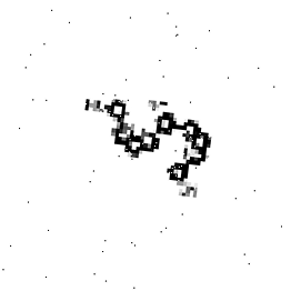 N#Cc1cccc(-c2ccc3ccc4ccc(-c5cc(C#N)cc(-c6ccc7ccc8ccc(-c9cccc(C#N)c9)nc8c7n6)c5)nc4c3n2)c1